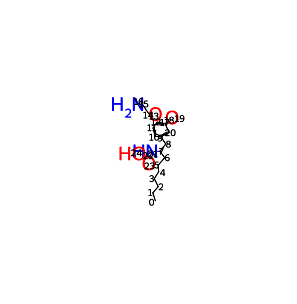 CCCCCCCC(Cc1ccc(OCCN)c(OC)c1)NC(=O)O